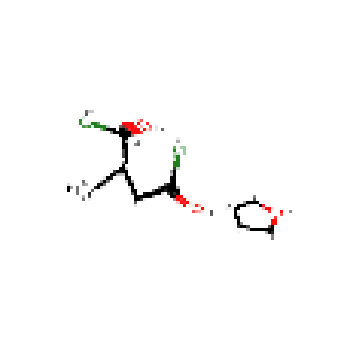 C1CCOC1.CC(CC(=O)Cl)C(=O)Cl